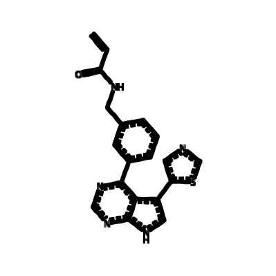 C=CC(=O)NCc1cccc(-c2ncnc3[nH]cc(-c4cncs4)c23)c1